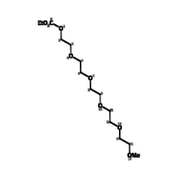 CCOC(=O)OCCOCCOCCOCCOCCOC